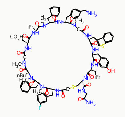 CCCC[C@H]1C(=O)N(C)CC(=O)N[C@@H](CC(=O)O)C(=O)N[C@@H](C(C)C)C(=O)N(C)[C@@H](Cc2ccccc2)C(=O)N[C@@H](Cc2ccc(CN)cc2)C(=O)N(C)CC(=O)N[C@@H](Cc2csc3ccccc23)C(=O)N[C@@H](Cc2ccc(O)cc2)C(=O)N[C@@H](CC(C)C)C(=O)N[C@H](C(=O)NCC(N)=O)CSCC(=O)N[C@@H](Cc2cccc(F)c2)C(=O)N(C)[C@@H](Cc2ccccc2)C(=O)N1C